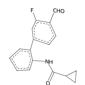 O=Cc1ccc(-c2ccccc2NC(=O)C2CC2)cc1F